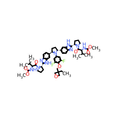 CCC1(COc2c(F)cc(N3[C@@H](c4ccc5nc([C@@H]6CCCN6C(=O)C(NC(=O)OC)C(C)C)[nH]c5c4)CC[C@@H]3c3ccc4nc([C@@H]5CCCN5C(=O)[C@@H](NC(=O)OC)C(C)C)[nH]c4c3)cc2F)COC1